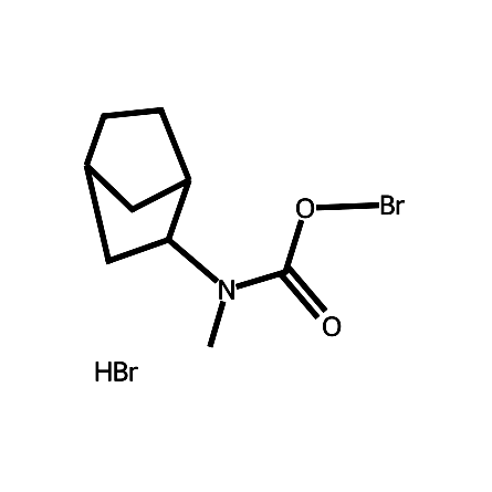 Br.CN(C(=O)OBr)C1CC2CCC1C2